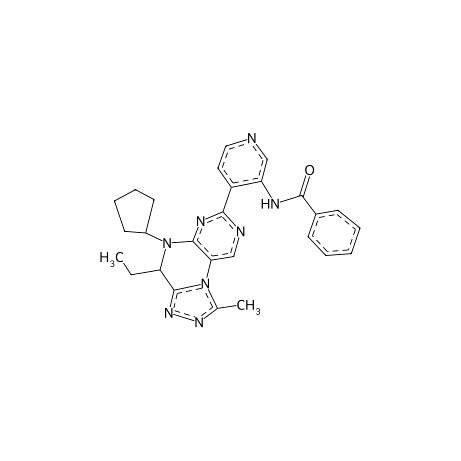 CCC1c2nnc(C)n2-c2cnc(-c3ccncc3NC(=O)c3ccccc3)nc2N1C1CCCC1